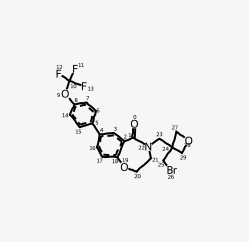 O=C1c2cc(-c3ccc(OC(F)(F)F)cc3)ccc2OCCN1CC1(CBr)COC1